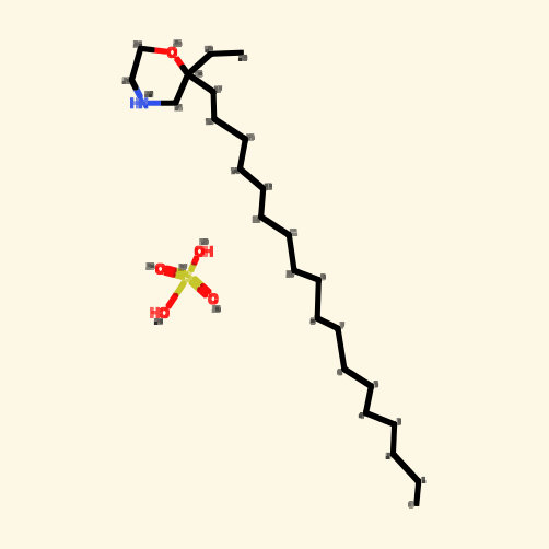 CCCCCCCCCCCCCCCCCCC1(CC)CNCCO1.O=S(=O)(O)O